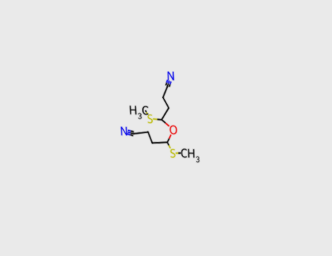 CSC(CCC#N)OC(CCC#N)SC